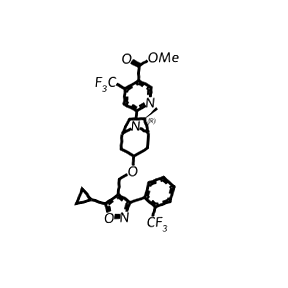 COC(=O)c1cnc(N2C3CC(OCc4c(-c5ccccc5C(F)(F)F)noc4C4CC4)CC2[C@H](C)C3)cc1C(F)(F)F